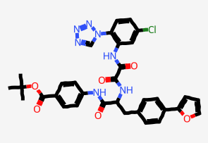 CC(C)(C)OC(=O)c1ccc(NC(=O)C(Cc2ccc(-c3ccco3)cc2)NC(=O)C(=O)Nc2cc(Cl)ccc2-n2cnnn2)cc1